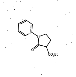 CCOC(=O)C1CCN(c2ccccc2)C1=O